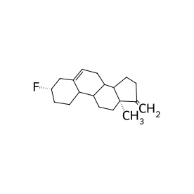 C=C1CCC2C3CC=C4C[C@@H](F)CCC4C3CC[C@]12C